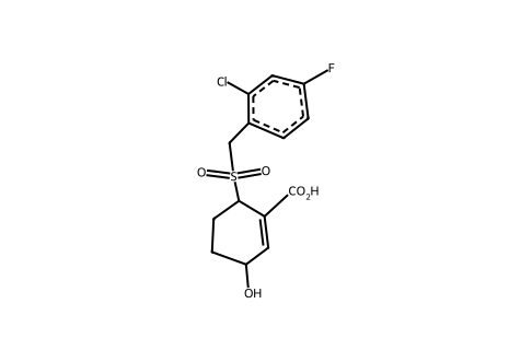 O=C(O)C1=CC(O)CCC1S(=O)(=O)Cc1ccc(F)cc1Cl